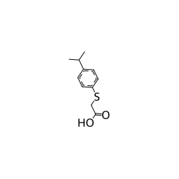 CC(C)c1ccc(SCC(=O)O)cc1